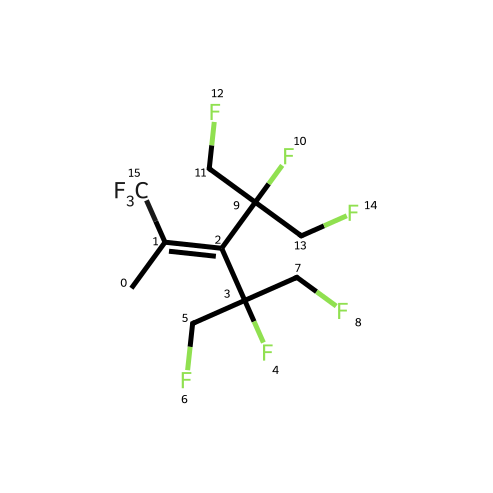 CC(=C(C(F)(CF)CF)C(F)(CF)CF)C(F)(F)F